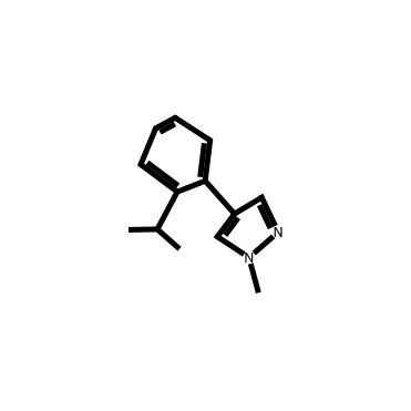 CC(C)c1ccccc1-c1cnn(C)c1